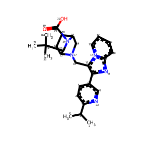 CC(C)c1ccc(-c2nc3ccccn3c2CN2CC3CCC2C(C(C)(C)C)N3C(=O)O)cn1